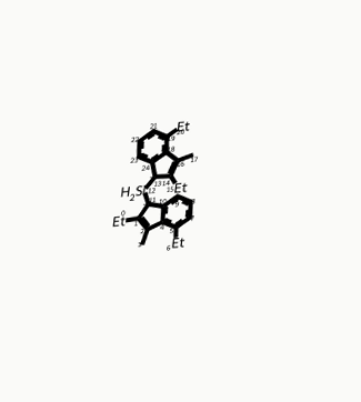 CCC1=C(C)c2c(CC)cccc2[C]1[SiH2][C]1C(CC)=C(C)c2c(CC)cccc21